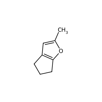 Cc1cc2c(o1)CCC2